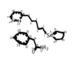 C1=[Se](CCCCCCc2cccnn2)CCC1.NC(=O)Cc1ccccc1